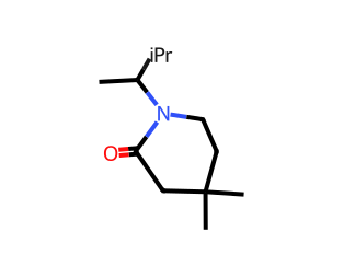 CC(C)C(C)N1CCC(C)(C)CC1=O